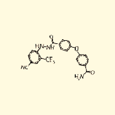 N#Cc1ccc(NNC(=O)c2ccc(Oc3ccc(C(N)=O)cc3)cc2)c(C(F)(F)F)c1